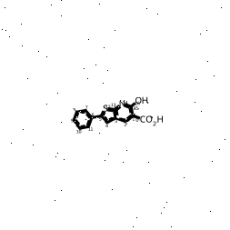 O=C(O)c1cc2cc(-c3ccccc3)sc2nc1O